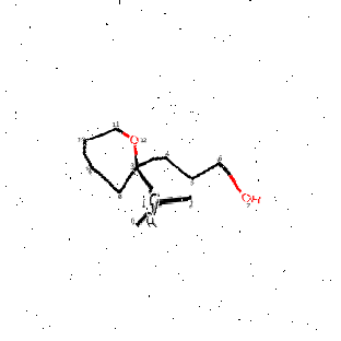 C[SiH](C)C1(CCCO)CCCCO1